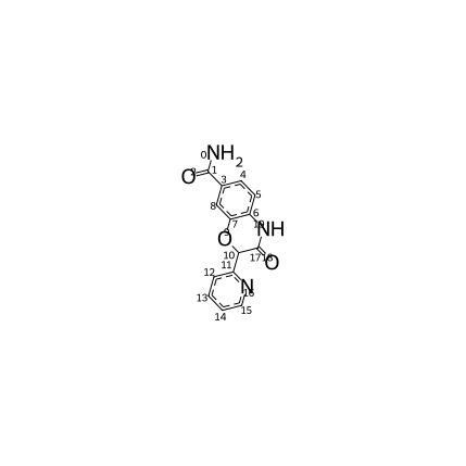 NC(=O)c1ccc2c(c1)OC(c1ccccn1)C(=O)N2